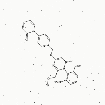 CCOCc1nc(OCc2ccc(-n3ccccc3=O)cc2)cc(=O)n1-c1c(OC)cccc1OC